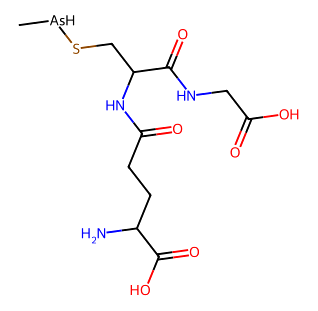 C[AsH]SCC(NC(=O)CCC(N)C(=O)O)C(=O)NCC(=O)O